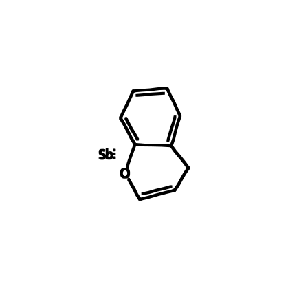 C1=COc2ccccc2C1.[Sb]